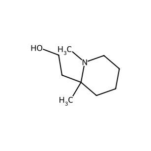 CN1CCCCC1(C)CCO